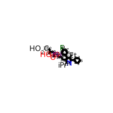 CCc1c(-c2ccccc2)nc(C(C)C)c(CCCO[PH](=O)CC(O)CC(=O)O)c1-c1ccc(F)cc1